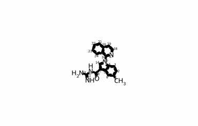 Cc1ccc2c(c1)c(C(=O)NC(=N)N)cn2-c1nccc2ccccc12